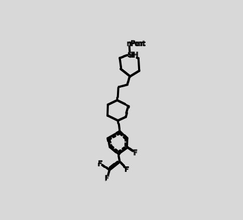 CCCCC[SiH]1CCC(CCC2CCC(c3ccc(C(F)=C(F)F)c(F)c3)CC2)CC1